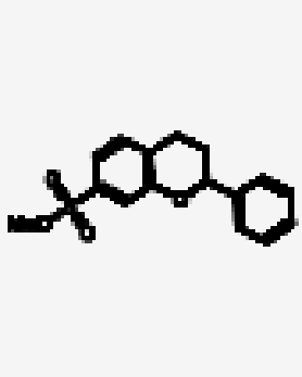 COS(=O)(=O)c1ccc2c(c1)OC(c1ccccc1)CC2